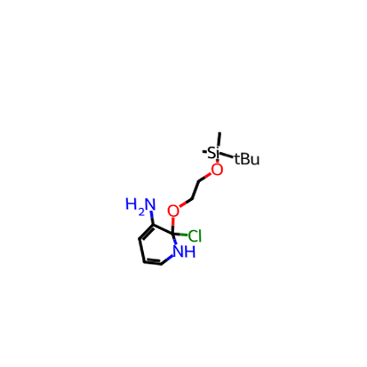 CC(C)(C)[Si](C)(C)OCCOC1(Cl)NC=CC=C1N